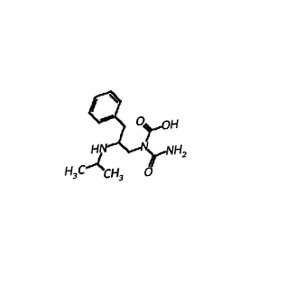 CC(C)NC(Cc1ccccc1)CN(C(N)=O)C(=O)O